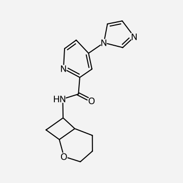 O=C(NC1CC2OCCCC12)c1cc(-n2ccnc2)ccn1